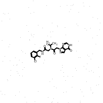 CC(C)N(CC(=O)NCc1cccc(Cl)c1F)C(=O)Cn1ncc2c(=O)[nH]cnc21